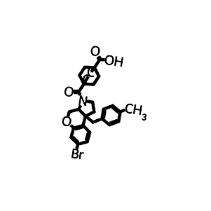 Cc1ccc(CC23CCN(C(=O)C45CCC(C(=O)O)(CC4)CC5)C2COc2cc(Br)ccc23)cc1